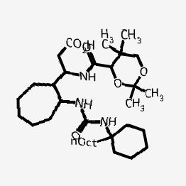 CCCCCCCCC1(NC(=O)NC2CCCCCC2C(CC(=O)O)NC(=O)C2OC(C)(C)OCC2(C)C)CCCCC1